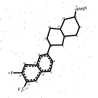 CCCCCCCC1CCC2CC(c3ccc4cc(C(F)(F)F)c(F)cc4c3)CCC2C1